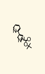 CC(C)(C)OC(=O)n1cc(-c2ccccn2)cn1